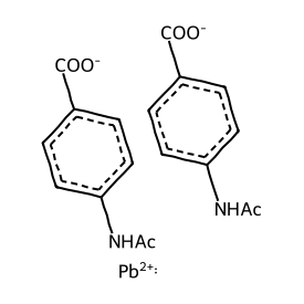 CC(=O)Nc1ccc(C(=O)[O-])cc1.CC(=O)Nc1ccc(C(=O)[O-])cc1.[Pb+2]